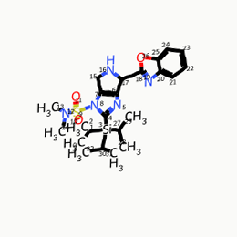 CC(C)[Si](c1nc2c(n1S(=O)(=O)N(C)C)CNC2c1nc2ccccc2o1)(C(C)C)C(C)C